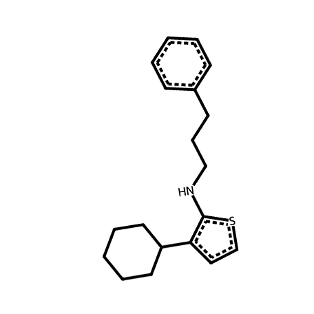 c1ccc(CCCNc2sccc2C2CCCCC2)cc1